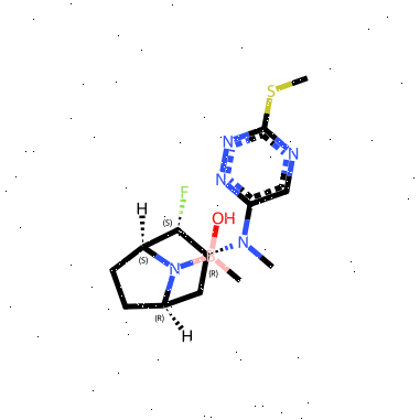 CSc1ncc(N(C)[C@@H]2C[C@H]3CC[C@@H]([C@@H]2F)N3B(C)O)nn1